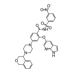 O=C(NS(=O)(=O)c1cccc([N+](=O)[O-])c1)c1ccc(N2CCN(C3COCc4ccccc43)CC2)cc1Oc1cnc2[nH]ccc2c1